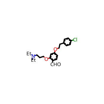 CCN(CC)CCCOc1cc(OCCc2ccc(Cl)cc2)ccc1C=O